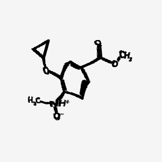 COC(=O)c1ccc([NH+](C)[O-])c(OC2CC2)c1